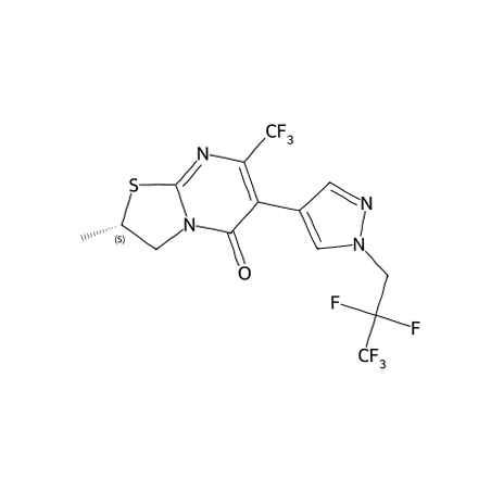 C[C@H]1Cn2c(nc(C(F)(F)F)c(-c3cnn(CC(F)(F)C(F)(F)F)c3)c2=O)S1